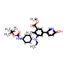 CCN(c1cc(-c2ccc(O)nc2)cc(C(=O)OC)c1C)[C@H]1CC[C@H](NC(=O)OC(C)(C)C)CC1